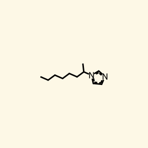 CCCCCCC(C)n1ccnc1